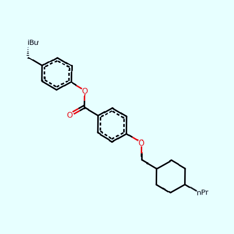 CCCC1CCC(COc2ccc(C(=O)Oc3ccc(C[C@@H](C)CC)cc3)cc2)CC1